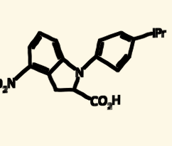 CC(C)c1ccc(N2c3cccc([N+](=O)[O-])c3CC2C(=O)O)cc1